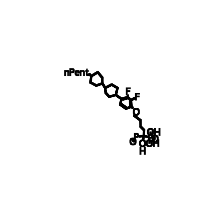 CCCCCC1CCC(C2CCC(c3ccc(OCCCCC(O)(P=O)P(=O)(O)O)c(F)c3F)CC2)CC1